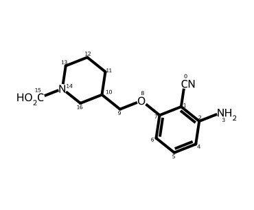 N#Cc1c(N)cccc1OCC1CCCN(C(=O)O)C1